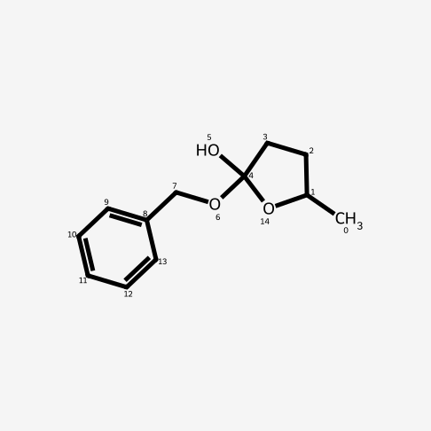 CC1CCC(O)(OCc2ccccc2)O1